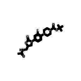 CC(=O)NCC1CN(c2ccc(N3CCN(C(=O)OC(C)(C)C)CC3)c(F)c2)C(=O)O1